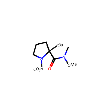 CON(C)C(=O)[C@@]1(C(C)(C)C)CCCN1C(=O)O